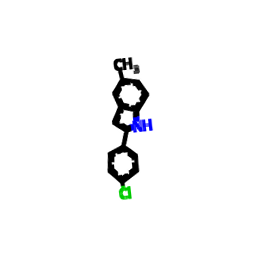 Cc1ccc2[nH]c(-c3ccc(Cl)cc3)cc2c1